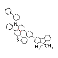 CC1(C)c2ccccc2-c2cc(-c3ccc(-c4ccc(N(c5cccc(-c6ccccc6)c5)c5ccccc5-c5ccc6c(c5)sc5ccccc56)cc4)cc3)ccc21